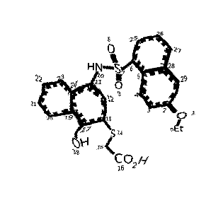 CCOc1ccc2c(S(=O)(=O)Nc3cc(SCC(=O)O)c(O)c4ccccc34)cccc2c1